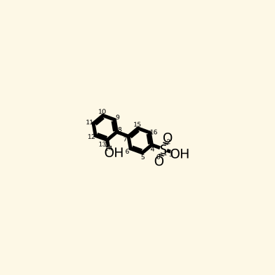 O=S(=O)(O)c1ccc(-c2ccccc2O)cc1